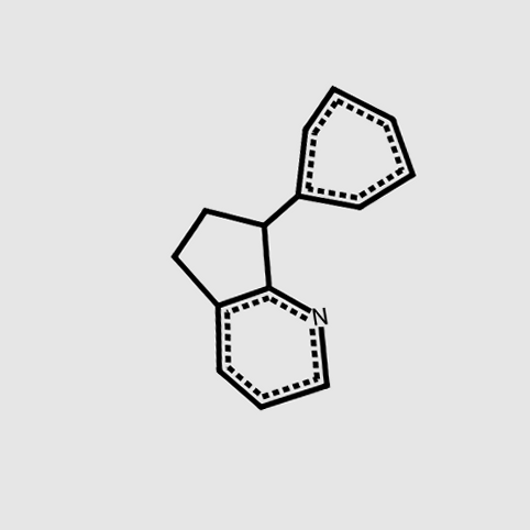 c1ccc(C2CCc3cccnc32)cc1